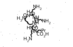 CC(C)C[C@H](NC(=O)[C@@H](CCCCN)NC(=O)[C@@H]1C/C=C/C[C@H](N)C(=O)N[C@@H](CCCCN)C(=O)N[C@@H](CCCCN)C(=O)N1)C(=O)O